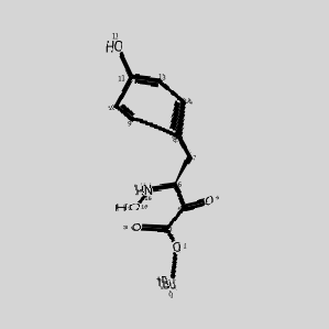 CC(C)(C)OC(=O)C(=O)[C@H](Cc1ccc(O)cc1)NO